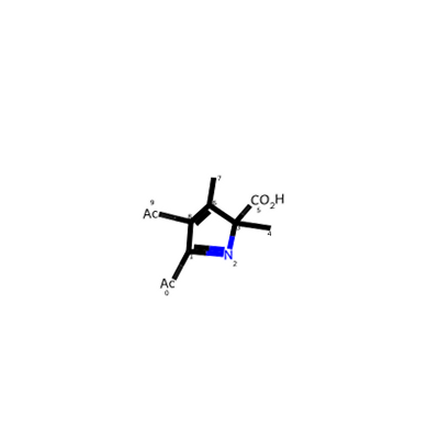 CC(=O)C1=NC(C)(C(=O)O)C(C)=C1C(C)=O